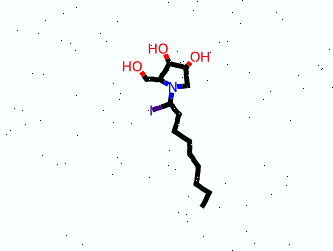 CCCCCCCCC(I)N1CC(O)C(O)C1CO